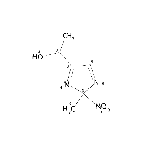 CC(O)C1=NC(C)([N+](=O)[O-])N=C1